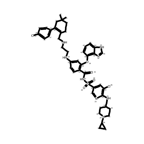 CC1(C)CCC(CNCCNc2ccc(C(=O)NS(=O)(=O)c3cnc(NC4CCN(C5CC5)CC4)c(Cl)c3)c(Oc3cccc4[nH]cnc34)c2)=C(c2ccc(Cl)cc2)C1